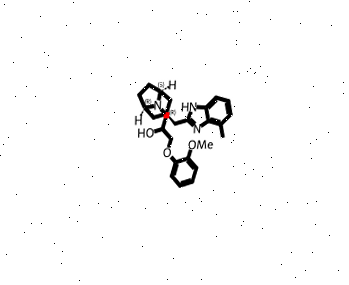 COc1ccccc1OCC(O)CN1[C@@H]2CC[C@H]1C[C@@H](Cc1nc3c(C)cccc3[nH]1)C2